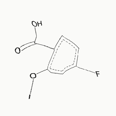 O=C(O)c1ccc(F)cc1OI